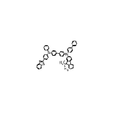 CC1(C)c2ccccc2-c2ccc(N(c3ccc(-c4ccccc4)cc3)c3ccc(-c4ccc(N(c5ccccc5)c5ccc(-c6nc7ccccc7s6)cc5)cc4)cc3)cc21